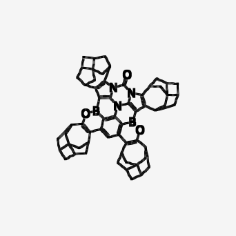 O=c1n2c3c(c4c2n2c5c(c6c(n15)C1CC5CC7CC6CC75C1)B1OC5=C(c6cc7c(c-2c61)B4OC1=C7C2CC4CC6CC1CC64C2)C1CC2CC4CC5CC42C1)C1CC2CC4CC3CC24C1